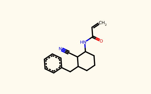 C=CC(=O)NC1CCCC(Cc2ccccc2)C1C#N